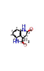 CC12CC(=O)Nc3cccc(c31)NC2=O